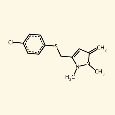 C=C1C=C(CSc2ccc(Cl)cc2)N(C)N1C